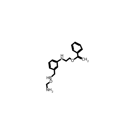 C=C(OCCNc1cccc(CBOCN)c1)c1ccccc1